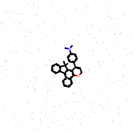 CN(C)c1ccc(C2=CCOc3c2c2c(c4ccccc34)-c3ccccc3C2(C)C)cc1